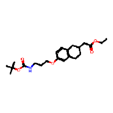 CCOC(=O)CC1CCc2cc(OCCCNC(=O)OC(C)(C)C)ccc2C1